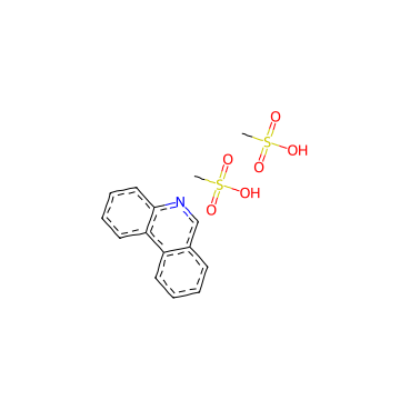 CS(=O)(=O)O.CS(=O)(=O)O.c1ccc2c(c1)cnc1ccccc12